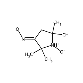 CC1(C)C/C(=N\O)C(C)(C)[NH+]1[O-]